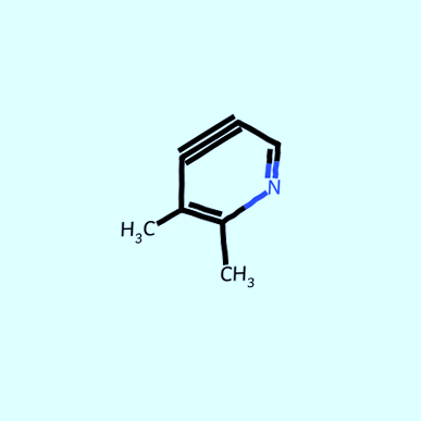 Cc1c#ccnc1C